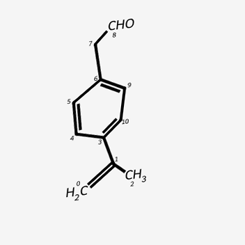 C=C(C)c1ccc(CC=O)cc1